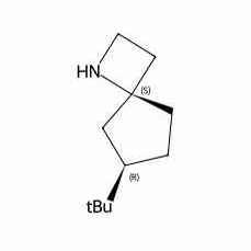 CC(C)(C)[C@@H]1CC[C@@]2(CCN2)C1